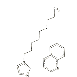 CCCCCCCCCn1ccnc1.c1ccc2ncccc2c1